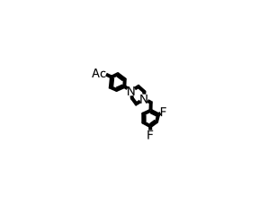 CC(=O)c1ccc(N2CCN(Cc3ccc(F)cc3F)CC2)cc1